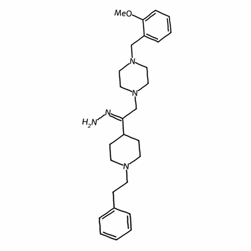 COc1ccccc1CN1CCN(CC(=NN)C2CCN(CCc3ccccc3)CC2)CC1